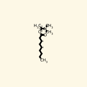 CCCCCCCCC(=O)OC(C)N(C)C